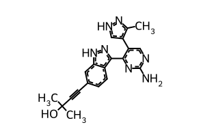 Cc1n[nH]cc1-c1cnc(N)nc1-c1n[nH]c2cc(C#CC(C)(C)O)ccc12